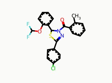 Cc1ccccc1C(=O)N1N=C(c2ccc(Cl)cc2)SC1c1ccccc1OC(F)F